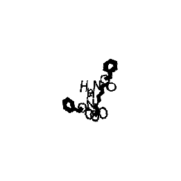 COC(=O)[C@H](CCCC(N)C(=O)OCc1ccccc1)NC(=O)OCc1ccccc1